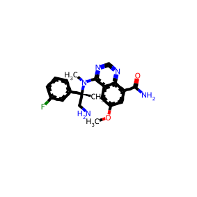 COc1cc(C(N)=O)c2ncnc(N(C)[C@](C)(CN)c3cccc(F)c3)c2c1